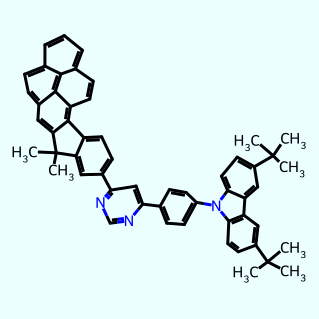 CC(C)(C)c1ccc2c(c1)c1cc(C(C)(C)C)ccc1n2-c1ccc(-c2cc(-c3ccc4c(c3)C(C)(C)c3cc5ccc6cccc7ccc(c3-4)c5c67)ncn2)cc1